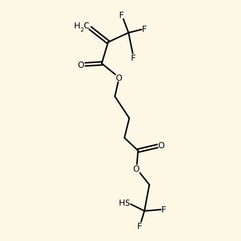 C=C(C(=O)OCCCC(=O)OCC(F)(F)S)C(F)(F)F